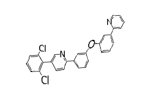 Clc1cccc(Cl)c1-c1ccc(-c2cccc(Oc3cccc(-c4ccccn4)c3)c2)nc1